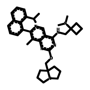 Cc1c(-c2cccc3cccc(C(C)C)c23)ncc2c(NCC3(N(C)C)CCC3)nc(OCC34CCCN3CCC4)nc12